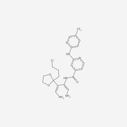 N/C=C(NC(=O)c1ccnc(Nc2ccc(C(F)(F)F)cn2)c1)\C(=C/N)C1(CCCCl)OCCO1